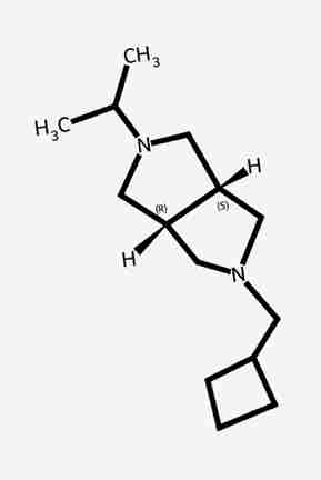 CC(C)N1C[C@H]2CN(CC3CCC3)C[C@H]2C1